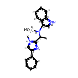 CC(c1nc(-c2ccccc2)cn1C)N(C(=O)O)c1c[nH]c2ccccc12